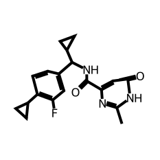 Cc1nc(C(=O)NC(c2ccc(C3CC3)c(F)c2)C2CC2)cc(=O)[nH]1